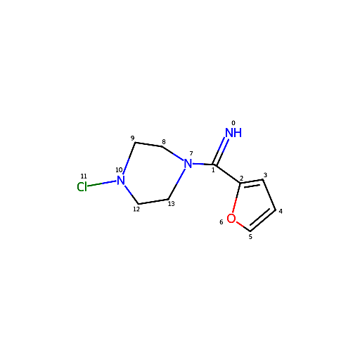 N=C(c1ccco1)N1CCN(Cl)CC1